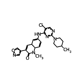 CC1CCN(c2ncc(Cl)c(NC3=CC4C=C(c5cnoc5)C(=O)N(C)C4C=C3)n2)CC1